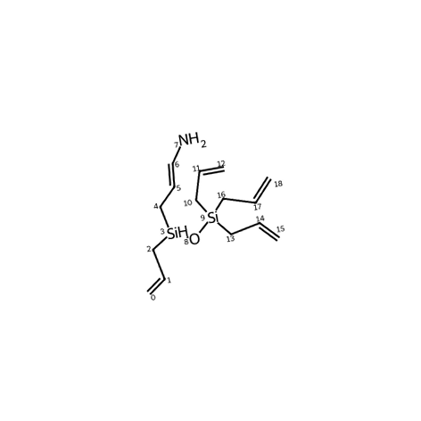 C=CC[SiH](CC=CN)O[Si](CC=C)(CC=C)CC=C